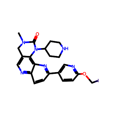 CN1Cc2cnc3ccc(-c4ccc(OCI)nc4)nc3c2N(C2CCNCC2)C1=O